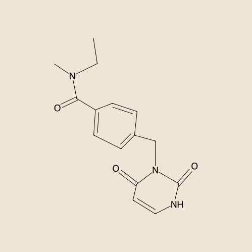 CCN(C)C(=O)c1ccc(Cn2c(=O)cc[nH]c2=O)cc1